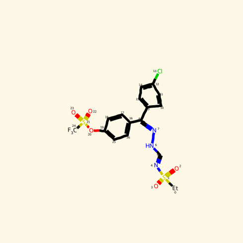 CCS(=O)(=O)N=CNN=C(c1ccc(Cl)cc1)c1ccc(OS(=O)(=O)C(F)(F)F)cc1